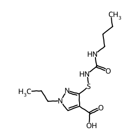 CCCCNC(=O)NSc1nn(CCC)cc1C(=O)O